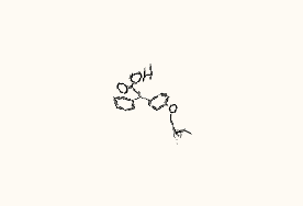 CC[C@H](C)COc1ccc(C(CC(=O)O)c2ccccc2)cc1